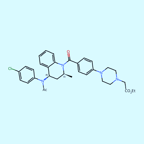 CCOC(=O)CN1CCN(c2ccc(C(=O)N3c4ccccc4[C@H](N(C(C)=O)c4ccc(Cl)cc4)C[C@@H]3C)cc2)CC1